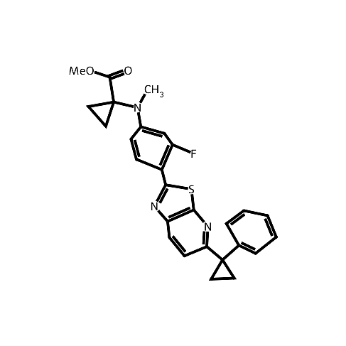 COC(=O)C1(N(C)c2ccc(-c3nc4ccc(C5(c6ccccc6)CC5)nc4s3)c(F)c2)CC1